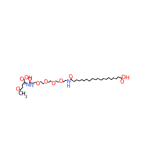 CC(=O)CC[C@H](NC(=O)CCOCCOCCOCCOCCNC(=O)CCCCCCCCCCCCCCCCCCC(=O)O)C(=O)O